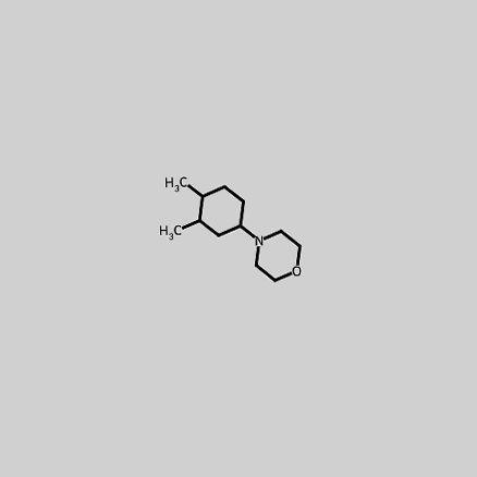 CC1CCC(N2CCOCC2)CC1C